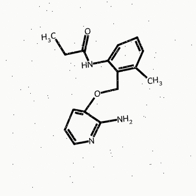 CCC(=O)Nc1cccc(C)c1COc1cccnc1N